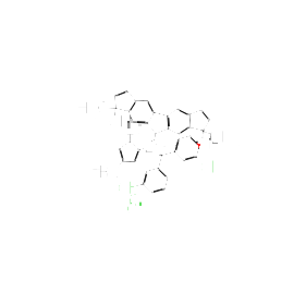 CCC1C=C(C(C)(C)C)C=[C]1[Zr+2](=[C](c1cccc(Cl)c1)c1cccc(Cl)c1)[CH]1c2cc3c(cc2-c2cc4c(cc21)C(C)(C)C=C4)C=CC3(C)C.[Cl-].[Cl-]